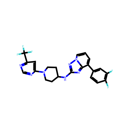 Fc1ccc(-c2cccn3nc(NC4CCN(c5cc(C(F)(F)F)ncn5)CC4)nc23)cc1F